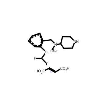 CCCCN(Cc1ccccc1OC(F)F)C1CCNCC1.O=C(O)/C=C/C(=O)O